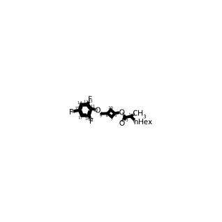 CCCCCCC(C)C(=O)OC1CC(COc2c(F)cc(F)cc2F)C1